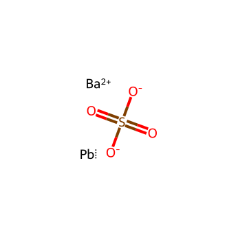 O=S(=O)([O-])[O-].[Ba+2].[Pb]